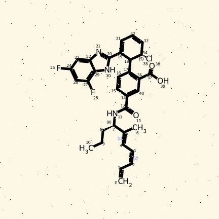 C=C/C=C\C=C(/C)[C@@H](CCC)NC(=O)c1ccc(C2C(c3nc4cc(F)cc(F)c4[nH]3)=CC=C[C@@H]2Cl)c(C(=O)O)c1